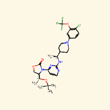 C[C@H](Nc1nccc(N2C(=O)OCC2[C@@H](C)OC(C)(C)C)n1)C1CCN(c2ccc(Cl)c(OC(F)(F)F)c2)CC1